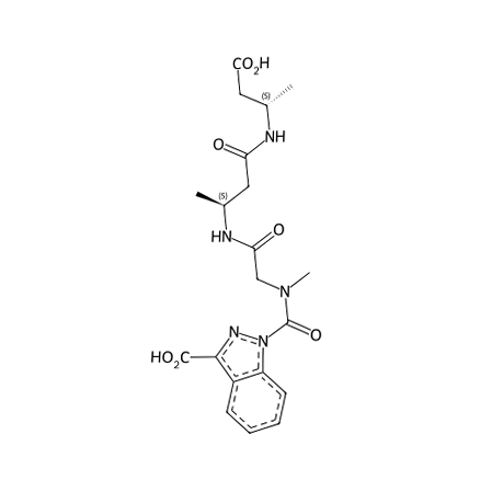 C[C@@H](CC(=O)O)NC(=O)C[C@H](C)NC(=O)CN(C)C(=O)n1nc(C(=O)O)c2ccccc21